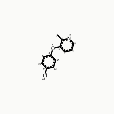 Cc1ncccc1Oc1ccc(Cl)cc1